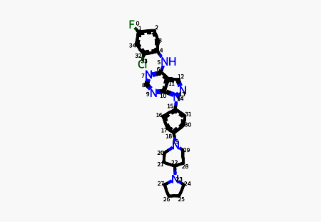 Fc1ccc(Nc2ncnc3c2cnn3-c2ccc(N3CCC(N4CCCC4)CC3)cc2)c(Cl)c1